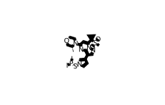 C[C@@H]1COCCN1c1cc(C2(S(C)(=O)=O)CC2)n2ncc(-c3ccn(SP(I)I)c3)c2n1